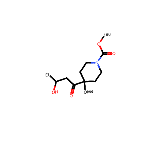 CCC(O)CC(=O)C1(OC)CCN(C(=O)OC(C)(C)C)CC1